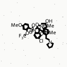 CNC(=O)[C@@H]1C[C@@H](O)C[N+]1(C)C1(c2cc(CCN3CCCC3)ccc2OC)C(=O)N(S(=O)(=O)c2ccc(OC)cc2OC(F)(F)F)c2ccc(Cl)cc21